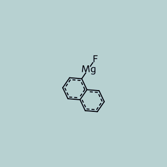 [F][Mg][c]1cccc2ccccc12